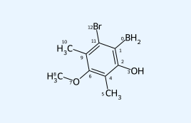 Bc1c(O)c(C)c(OC)c(C)c1Br